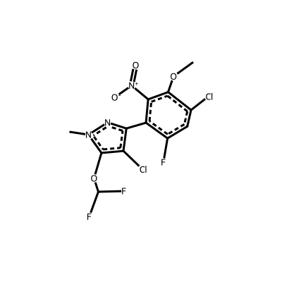 COc1c(Cl)cc(F)c(-c2nn(C)c(OC(F)F)c2Cl)c1[N+](=O)[O-]